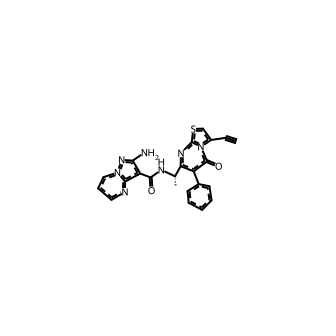 C#Cc1csc2nc([C@H](C)NC(=O)c3c(N)nn4cccnc34)c(-c3ccccc3)c(=O)n12